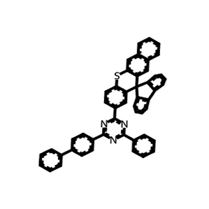 c1ccc(-c2ccc(-c3nc(-c4ccccc4)nc(-c4ccc5c(c4)C4(c6cc7ccccc7cc6S5)c5ccccc5-c5ccccc54)n3)cc2)cc1